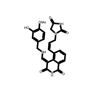 COc1ccc(CN/C=C2/C(=O)NC(=O)c3cccc(C=CCN4CC(=O)NC4=O)c32)cc1O